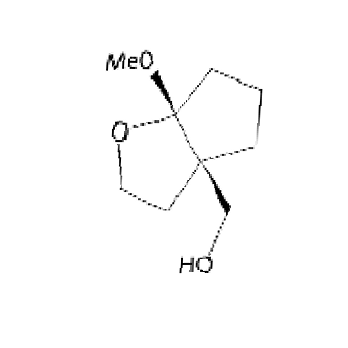 CO[C@@]12CCC[C@]1(CO)CCO2